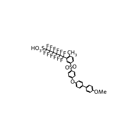 COc1ccc(-c2ccc(Oc3ccc(S(=O)(=O)c4ccc(C)c(C(F)(F)C(F)(F)C(F)(F)C(F)(F)C(F)(F)C(F)(F)S(=O)(=O)O)c4)cc3)cc2)cc1